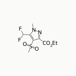 CCOC(=O)c1nn(C)c(C(F)F)c1S(C)(=O)=O